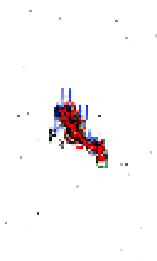 CC1(C)CCC(c2ccc(Cl)cc2)=C(CN2CCN(c3ccc(C(=O)NS(=O)(=O)c4ccc(N[C@H](CCN5CCN(Cc6cc(NC7CCC(=O)NC7=O)ncn6)CC5)CSc5ccccc5)c(S(=O)(=O)C(F)(F)F)c4)cc3)CC2)C1